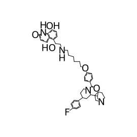 O=C(c1ccc(OCCCCCCNCC(O)c2ccc(O)c3[nH]c(=O)ccc23)cc1)N1CCC(c2ccc(F)cc2)CC1C1CN2CCC1CC2